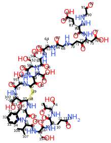 CC(=O)[C@H](CO)NC(=O)[C@H](CCC(N)=O)NC(=O)[C@H](CO)NC(=O)[C@@H](NC(=O)[C@H](Cc1ccccc1)NC1SSC(C(=O)[C@H](CC(=O)O)NC(=O)[C@H](CO)NC(=O)[C@H](CO)NC(=O)[C@H](C)NC(=O)CNCCC(=O)[C@H](CC(=O)O)NC(=O)[C@H](CCC(=O)O)NNCC=O)N[C@@H](CO)C(=O)N[C@@H]([C@@H](C)O)C1=O)C(C)C